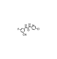 N#Cc1cc(F)cc(NC(=O)Nc2ccc(Cl)cn2)c1